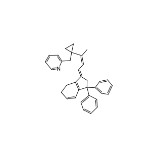 C/C(=C/C=C1\CC(c2ccccc2)(c2ccccc2)C2=C1CCC=C2)C1(Cc2ccccn2)CC1